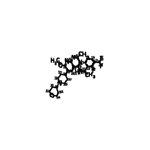 COc1nc2nc(C)nc(N[C@H](C)c3cccc(C(F)F)c3F)c2cc1C1CCN(C2CCOCC2)CC1